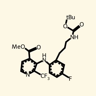 COC(=O)c1ccnc(C(F)(F)F)c1Nc1ccc(F)cc1CCCNC(=O)OC(C)(C)C